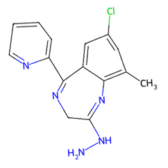 Cc1cc(Cl)cc2c1N=C(NN)CN=C2c1ccccn1